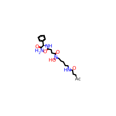 CC(=O)CCC(=O)NCCCCCN(O)C(=O)CCC(=O)N[C@@H](C(N)=O)c1ccccc1